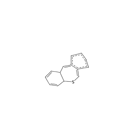 C1=CC2C=c3ccccc3=CSC2C=C1